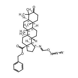 CC1(C)C(=O)CC[C@]2(C)[C@H]3CC[C@@H]4[C@H]5[C@H](N=CON=[N+]=[N-])CC[C@]5(C(=O)OCc5ccccc5)CC[C@@]4(C)[C@]3(C)CC[C@@H]12